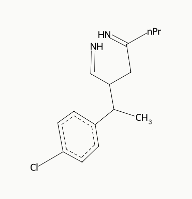 CCCC(=N)CC(C=N)C(C)c1ccc(Cl)cc1